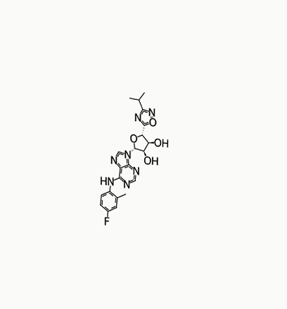 Cc1cc(F)ccc1Nc1ncnc2c1ncn2[C@@H]1O[C@H](c2nc(C(C)C)no2)[C@@H](O)[C@H]1O